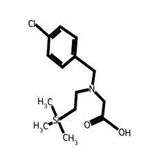 C[Si](C)(C)CCN(CC(=O)O)Cc1ccc(Cl)cc1